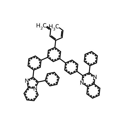 C=C/C=C(\C=C/C)c1cc(-c2ccc(-c3nc4ccccc4nc3-c3ccccc3)cc2)cc(-c2cccc(-c3nc4ccccn4c3-c3ccccc3)c2)c1